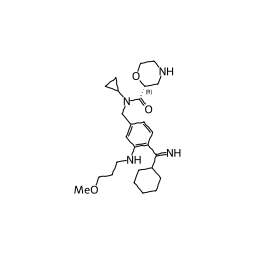 COCCCNc1cc(CN(C(=O)[C@H]2CNCCO2)C2CC2)ccc1C(=N)C1CCCCC1